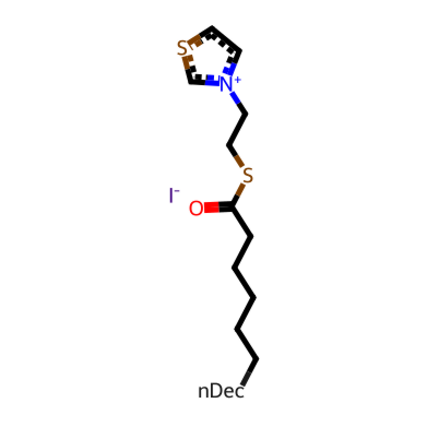 CCCCCCCCCCCCCCCC(=O)SCC[n+]1ccsc1.[I-]